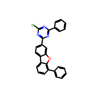 Clc1nc(-c2ccccc2)nc(-c2ccc3c(c2)oc2c(-c4ccccc4)cccc23)n1